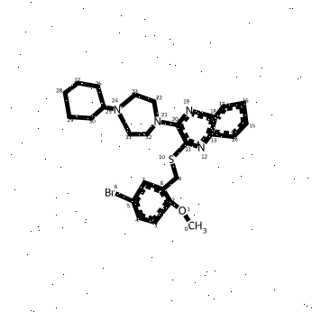 COc1ccc(Br)cc1CSc1nc2ccccc2nc1N1CCN(C2CCCCC2)CC1